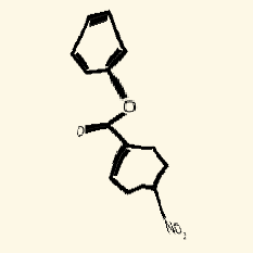 O=C(Oc1ccccc1)C1=CCC([N+](=O)[O-])CC1